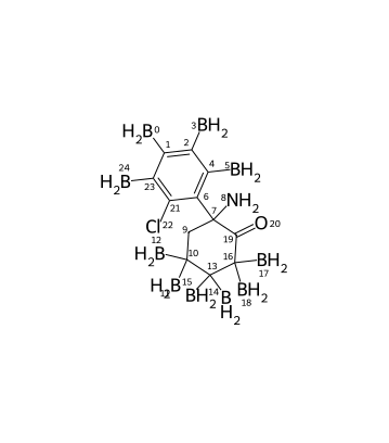 Bc1c(B)c(B)c(C2(N)CC(B)(B)C(B)(B)C(B)(B)C2=O)c(Cl)c1B